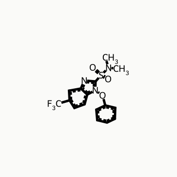 CN(C)S(=O)(=O)c1nc2cc(C(F)(F)F)ccc2n1Oc1ccccc1